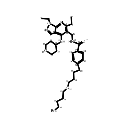 CCc1nc2c(cnn2CC)c(NC2CCOCC2)c1CNC(=O)c1ccc(CCCCOCCCCBr)cc1